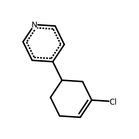 ClC1=CCCC(c2ccncc2)C1